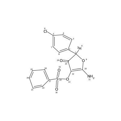 [2H]C1(c2ccc(Cl)cc2)OC(N)=C(OS(=O)(=O)c2ccccc2)C1=O